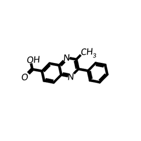 Cc1nc2cc(C(=O)O)ccc2nc1-c1ccccc1